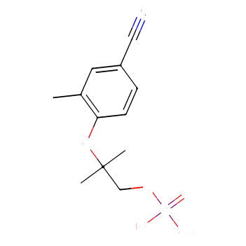 Cc1cc(C#N)ccc1OC(C)(C)COP(=O)(O)O